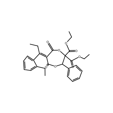 CCOC(=O)C1(C(=O)OCC)OC(=O)C(=C(CC)c2ccccc2CC)C(=O)OC1c1ccccc1